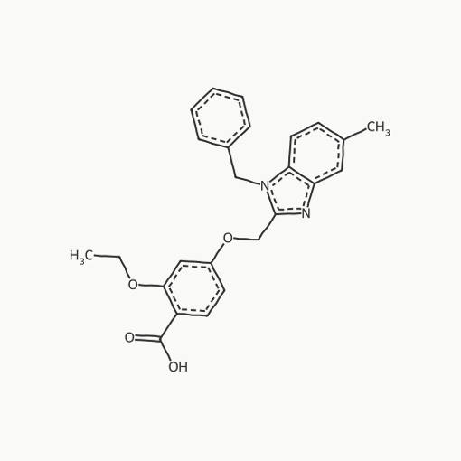 CCOc1cc(OCc2nc3cc(C)ccc3n2Cc2ccccc2)ccc1C(=O)O